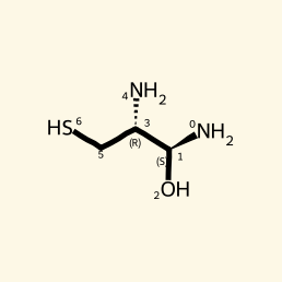 N[C@@H](O)[C@@H](N)CS